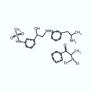 CC(N)Cc1ccccc1.CCN(CC)C(C)C(=O)c1ccccc1.CNCC(O)c1cccc(NS(C)(=O)=O)c1